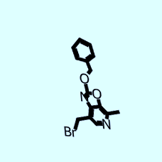 Cc1ncc(CBr)c2nc(OCc3ccccc3)oc12